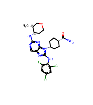 C[C@@H]1COCC[C@@H]1Nc1ncc2nc(Nc3c(F)cc(Cl)cc3Cl)n([C@H]3CC[C@@H](C(N)=O)CC3)c2n1